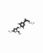 CC1=NN(CC(C)C)C(COc2c(F)cc(C3CC3CC(=O)O)cc2F)C1